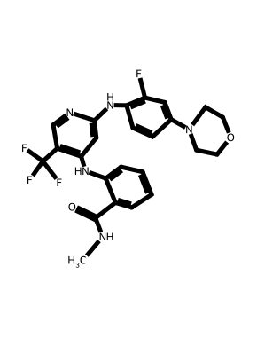 CNC(=O)c1ccccc1Nc1cc(Nc2ccc(N3CCOCC3)cc2F)ncc1C(F)(F)F